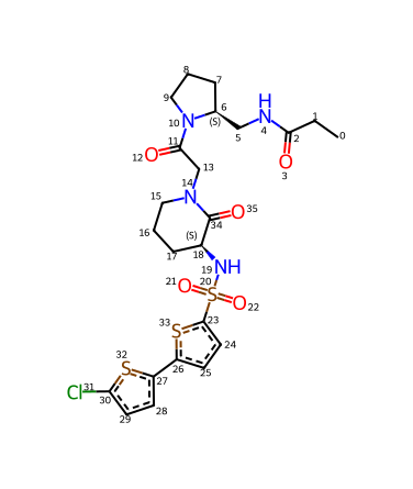 CCC(=O)NC[C@@H]1CCCN1C(=O)CN1CCC[C@H](NS(=O)(=O)c2ccc(-c3ccc(Cl)s3)s2)C1=O